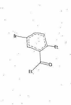 CCC(=O)c1cc(Br)ccc1CC